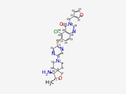 C[C@@H]1OCC2(CCN(c3cnc(Sc4ccc5ncn(Cc6ccoc6)c(=O)c5c4Cl)cn3)CC2)[C@@H]1N